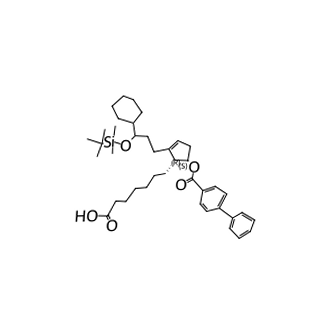 CC(C)(C)[Si](C)(C)OC(CCC1=CC[C@H](OC(=O)c2ccc(-c3ccccc3)cc2)[C@@H]1CCCCCCC(=O)O)C1CCCCC1